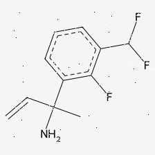 C=CC(C)(N)c1cccc(C(F)F)c1F